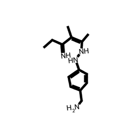 CCC(=N)C(C)=C(C)NNc1ccc(CN)cc1